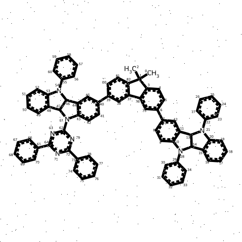 CC1(C)c2ccc(-c3ccc4c(c3)C3C(c5ccccc5N3c3ccccc3)N4c3ccccc3)cc2-c2cc(-c3ccc4c(c3)C3C(c5ccccc5N3c3ccccc3)N4c3nc(-c4ccccc4)nc(-c4ccccc4)n3)ccc21